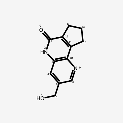 O=c1[nH]c2cc(CO)cnc2c2c1CCC2